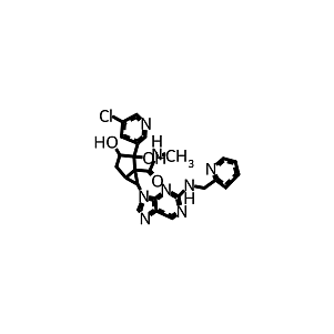 CNC(=O)C12C(CC(O)C1(O)c1cncc(Cl)c1)C2n1cnc2cnc(NCc3ccccn3)nc21